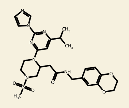 CC(C)c1cc(N2CCN(S(C)(=O)=O)CC2CC(=O)NCc2ccc3c(c2)OCCO3)nc(-n2ccnc2)n1